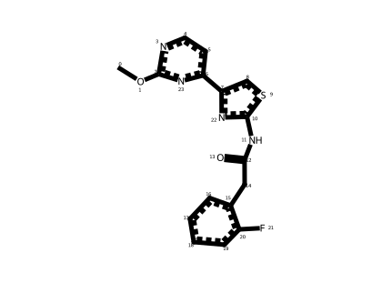 COc1nccc(-c2csc(NC(=O)Cc3ccccc3F)n2)n1